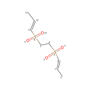 CC=CS(=O)(=O)CCS(=O)(=O)C=CC